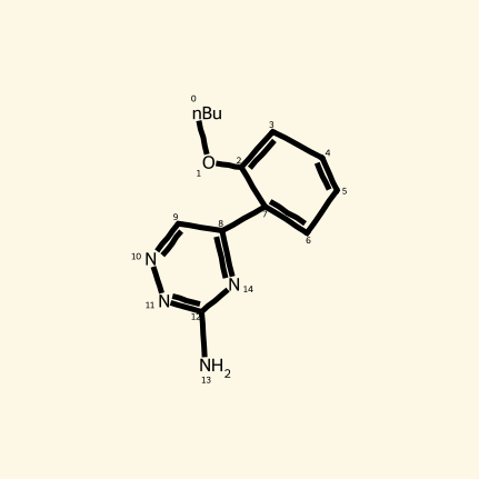 CCCCOc1ccccc1-c1cnnc(N)n1